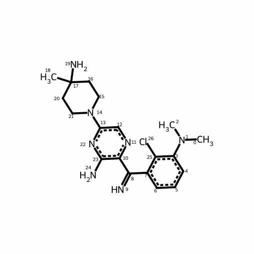 CN(C)c1cccc(C(=N)c2ncc(N3CCC(C)(N)CC3)nc2N)c1Cl